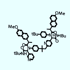 COc1ccc2cc(C(C)C(=O)N(c3ccc(C(C)(C)Cc4ccc(C(C(=O)NC(C)(C)C)N(C(=O)C(C)c5ccc6cc(OC)ccc6c5)c5ccc(C(C)(C)C)cc5)cn4)cc3)C(C(=O)NC(C)(C)C)c3cccnc3)ccc2c1